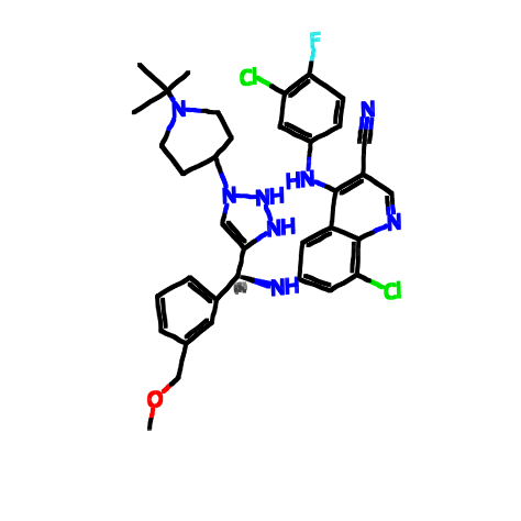 COCc1cccc([C@H](Nc2cc(Cl)c3ncc(C#N)c(Nc4ccc(F)c(Cl)c4)c3c2)C2=CN(C3CCN(C(C)(C)C)CC3)NN2)c1